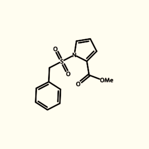 COC(=O)c1cccn1S(=O)(=O)Cc1ccccc1